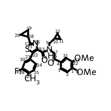 COc1ccc(C(O)CN(CC2CC2)C(=O)c2nc(C3CC3)sc2-c2ccc(C)c(F)c2)cc1OC